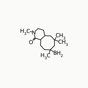 BC1(C)CCC2C(=O)N(C)CCC2CC(C)(C)C1